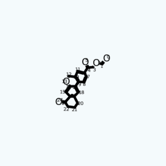 O=COCC(=O)c1ccc2c(c1)COc1cc3c(cc1-2)CCCC3=O